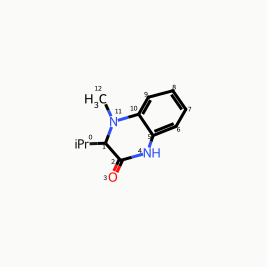 CC(C)C1C(=O)Nc2ccccc2N1C